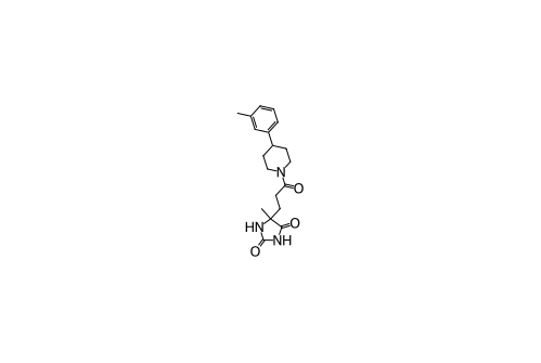 Cc1cccc(C2CCN(C(=O)CCC3(C)NC(=O)NC3=O)CC2)c1